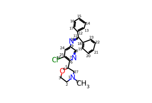 CN1CCOC(c2ncc(N=C(c3ccccc3)c3ccccc3)cc2Cl)C1